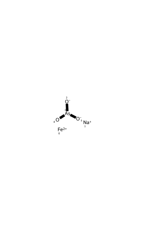 [Fe+2].[Na+].[O-][As]([O-])[O-]